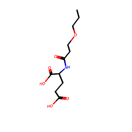 CCCOCCC(=O)NC(CCC(=O)O)C(=O)O